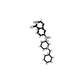 O=c1[nH]ccc2cc(N[C@@H]3CCCN(CC4CCCCC4)C3)ccc12